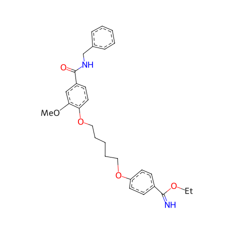 CCOC(=N)c1ccc(OCCCCCOc2ccc(C(=O)NCc3ccccc3)cc2OC)cc1